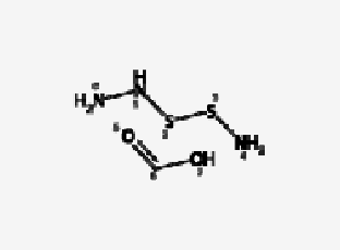 NNSSN.O=CO